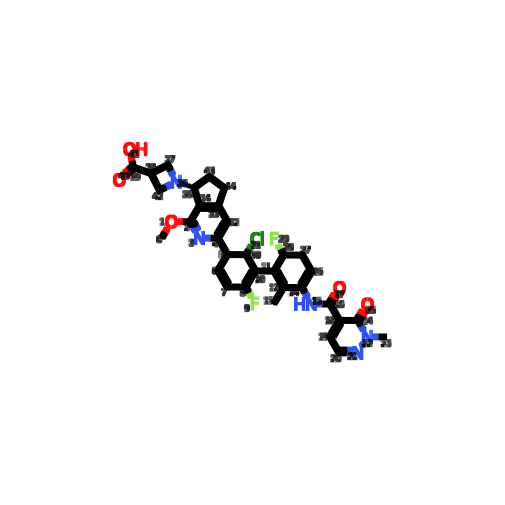 COc1nc(C2C=CC(F)=C(C3=C(C)C(NC(=O)c4ccnn(C)c4=O)=CCC3F)C2Cl)cc2c1[C@@H](N1CC(C(=O)O)C1)CC2